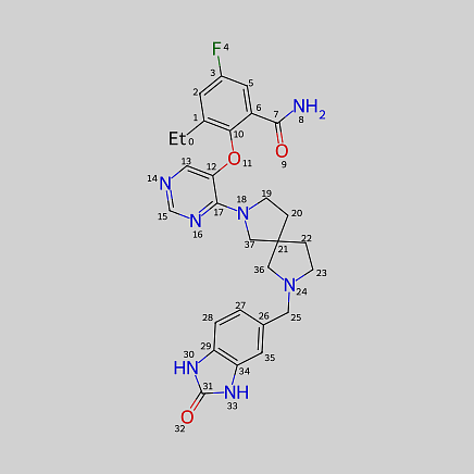 CCc1cc(F)cc(C(N)=O)c1Oc1cncnc1N1CCC2(CCN(Cc3ccc4[nH]c(=O)[nH]c4c3)C2)C1